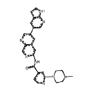 CN1CCN(c2cc(C(=O)Nc3cc4cc(-c5cnc6[nH]ccc6c5)cnc4cn3)ccn2)CC1